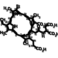 C=Cc1c(C)c2cc3nc(c(CC(=O)NC(CC(=O)O)C(=O)O)c4nc(cc5[nH]c(cc1[nH]2)c(C)c5CC)C(C)=C4C(=O)O)C(CCC(=O)O)C3C